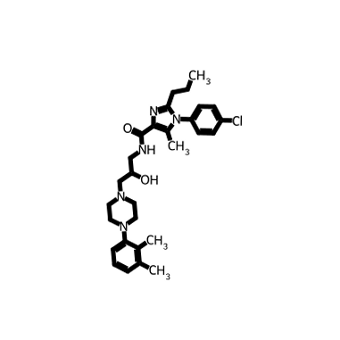 CCCc1nc(C(=O)NCC(O)CN2CCN(c3cccc(C)c3C)CC2)c(C)n1-c1ccc(Cl)cc1